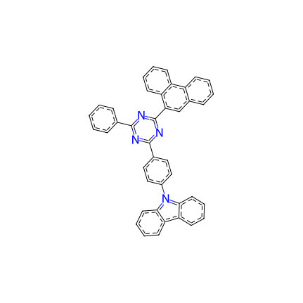 c1ccc(-c2nc(-c3ccc(-n4c5ccccc5c5ccccc54)cc3)nc(-c3cc4ccccc4c4ccccc34)n2)cc1